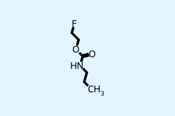 CCCNC(=O)OCCF